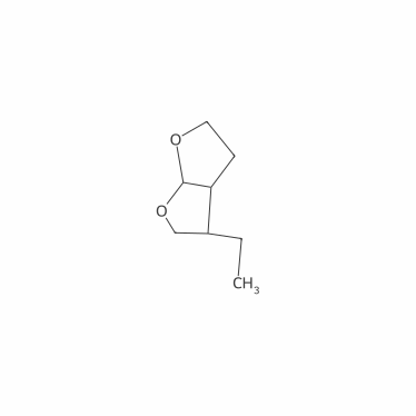 CCC1COC2OCCC12